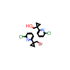 Clc1cccc(C2(CBr)CC2)n1.OCC1(c2cccc(Cl)n2)CC1